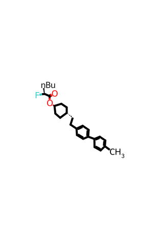 CCCC[C@H](F)C(=O)O[C@H]1CC[C@H](CCc2ccc(-c3ccc(C)cc3)cc2)CC1